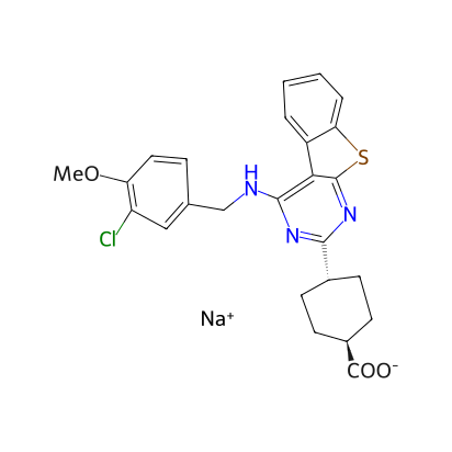 COc1ccc(CNc2nc([C@H]3CC[C@H](C(=O)[O-])CC3)nc3sc4ccccc4c23)cc1Cl.[Na+]